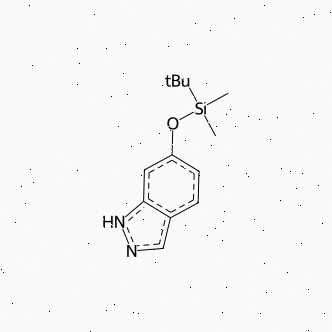 CC(C)(C)[Si](C)(C)Oc1ccc2cn[nH]c2c1